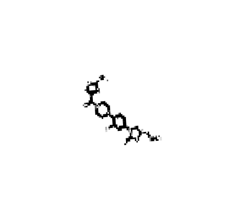 CC(=O)NC[C@H]1CN(c2ccc(N3CCN(C(=O)c4coc(N)n4)CC3)c(F)c2)C(=O)O1